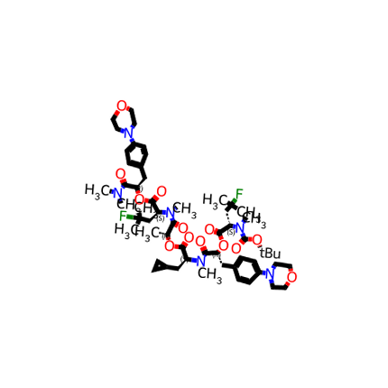 C[C@@H](OC(=O)[C@H](CC1CC1)N(C)C(=O)[C@@H](Cc1ccc(N2CCOCC2)cc1)OC(=O)[C@H](CC(C)(C)F)N(C)C(=O)OC(C)(C)C)C(=O)N(C)[C@@H](CC(C)(C)F)C(=O)O[C@H](Cc1ccc(N2CCOCC2)cc1)C(=O)N(C)C